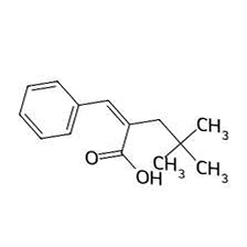 CC(C)(C)CC(=Cc1ccccc1)C(=O)O